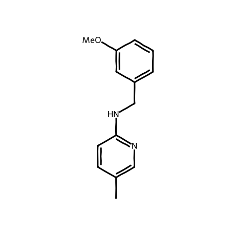 COc1cccc(CNc2ccc(C)cn2)c1